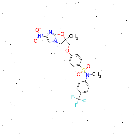 CN(c1ccc(C(F)(F)F)cc1)S(=O)(=O)c1ccc(OCC2(C)Cn3cc([N+](=O)[O-])nc3O2)cc1